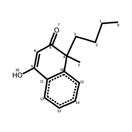 CCCCC1(C)C(=O)C=C(O)c2ccccc21